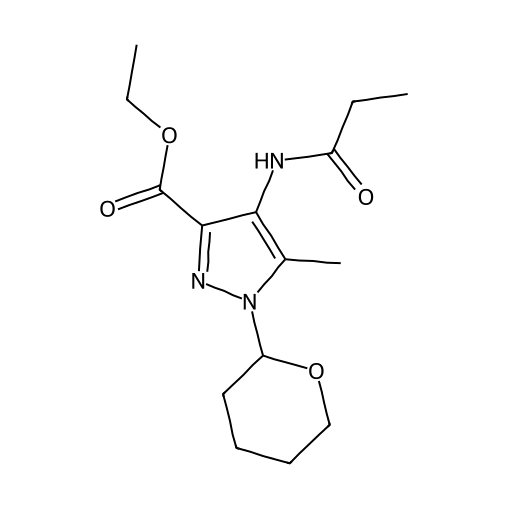 CCOC(=O)c1nn(C2CCCCO2)c(C)c1NC(=O)CC